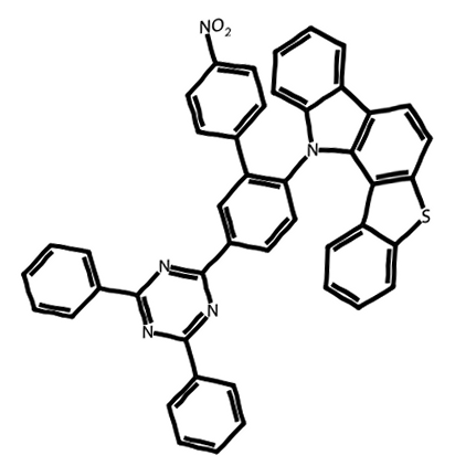 O=[N+]([O-])c1ccc(-c2cc(-c3nc(-c4ccccc4)nc(-c4ccccc4)n3)ccc2-n2c3ccccc3c3ccc4sc5ccccc5c4c32)cc1